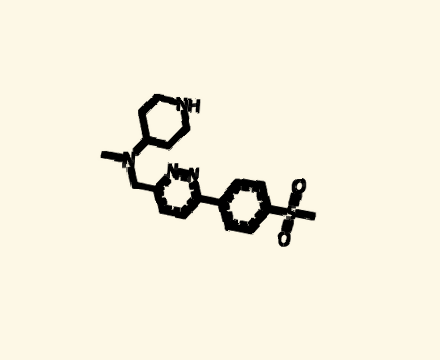 CN(Cc1ccc(-c2ccc(S(C)(=O)=O)cc2)nn1)C1CCNCC1